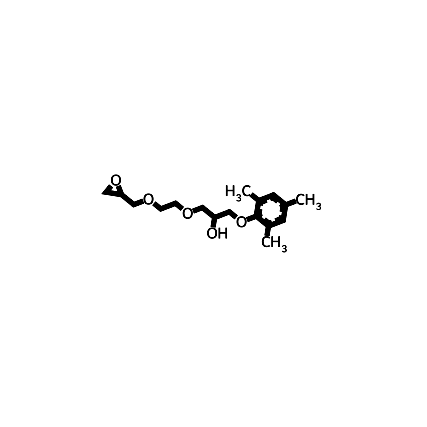 Cc1cc(C)c(OCC(O)COCCOCC2CO2)c(C)c1